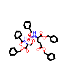 O=C(CCC(NP(=O)(OCc1ccccc1)OC[C@H](NC(=O)c1ccccc1)C(=O)OCc1ccccc1)C(=O)OCc1ccccc1)OCc1ccccc1